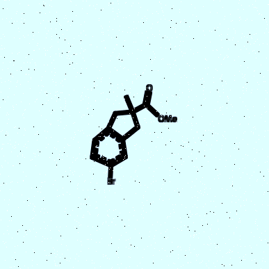 COC(=O)C1(C)Cc2ccc(Br)cc2C1